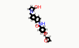 O=C(N[C@H]1CCc2cc(CN3CC[C@@H](O)C3)ccc2C1)c1ccc(OC[C@@H]2CCCO2)cc1